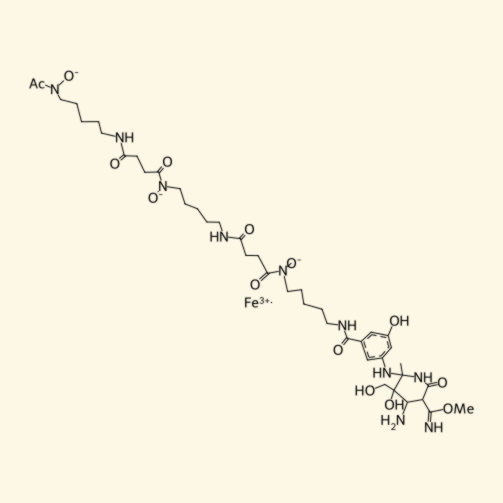 COC(=N)C1C(=O)NC(C)(Nc2cc(O)cc(C(=O)NCCCCCN([O-])C(=O)CCC(=O)NCCCCCN([O-])C(=O)CCC(=O)NCCCCCN([O-])C(C)=O)c2)C(O)(CO)C1N.[Fe+3]